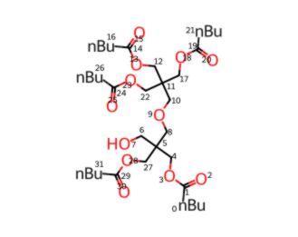 CCCCC(=O)OCC(CO)(COCC(COC(=O)CCCC)(COC(=O)CCCC)COC(=O)CCCC)COC(=O)CCCC